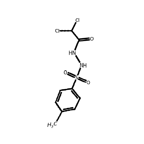 Cc1ccc(S(=O)(=O)NNC(=O)C(Cl)Cl)cc1